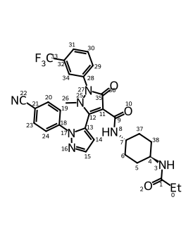 CCC(=O)N[C@H]1CC[C@H](NC(=O)c2c(-c3ccnn3-c3ccc(C#N)cc3)n(C)n(-c3cccc(C(F)(F)F)c3)c2=O)CC1